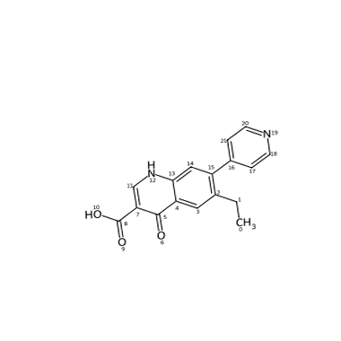 CCc1cc2c(=O)c(C(=O)O)c[nH]c2cc1-c1ccncc1